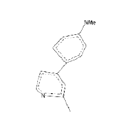 CNc1ccc(-c2ccnc(C)c2)cc1